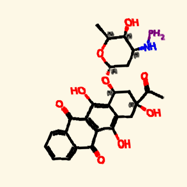 CC(=O)[C@]1(O)Cc2c(O)c3c(c(O)c2[C@@H](O[C@H]2C[C@H](NP)[C@H](O)[C@H](C)O2)C1)C(=O)c1ccccc1C3=O